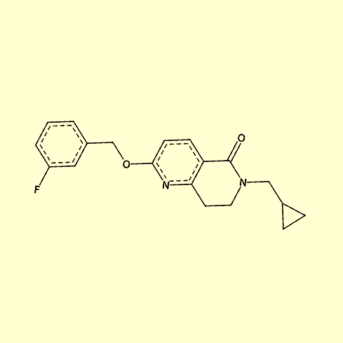 O=C1c2ccc(OCc3cccc(F)c3)nc2CCN1CC1CC1